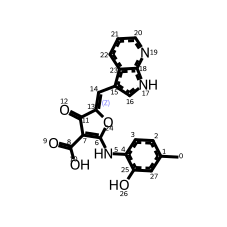 Cc1ccc(NC2=C(C(=O)O)C(=O)/C(=C/c3c[nH]c4ncccc34)O2)c(O)c1